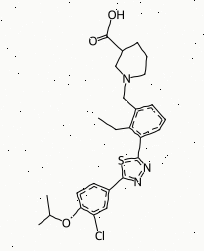 CCc1c(CN2CCCC(C(=O)O)C2)cccc1-c1nnc(-c2ccc(OC(C)C)c(Cl)c2)s1